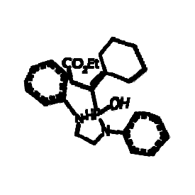 CCOC(=O)CC(=C1CCCCC1)[PH]1(O)N(c2ccccc2)CCN1c1ccccc1